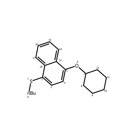 CCCCSc1ccc(OC2CCCCC2)c2ccccc12